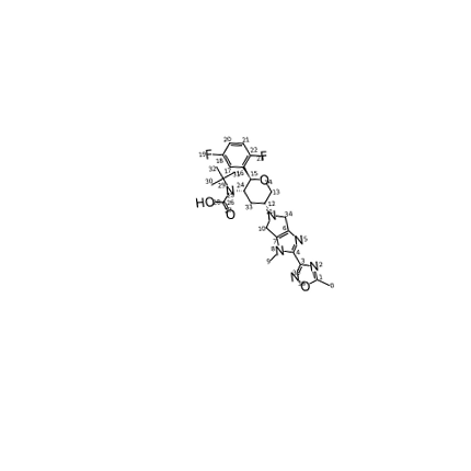 Cc1nc(-c2nc3c(n2C)CN([C@H]2CO[C@H](c4cc(F)ccc4F)[C@@H](N(C(=O)O)C(C)(C)C)C2)C3)no1